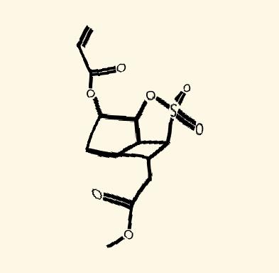 C=CC(=O)OC1C2CC3C1OS(=O)(=O)C3C2CC(=O)OC